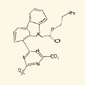 CC(C)CCOC(=O)Cn1c2ccccc2c2cccc(-c3nc(C(Cl)(Cl)Cl)nc(C(Cl)(Cl)Cl)n3)c21